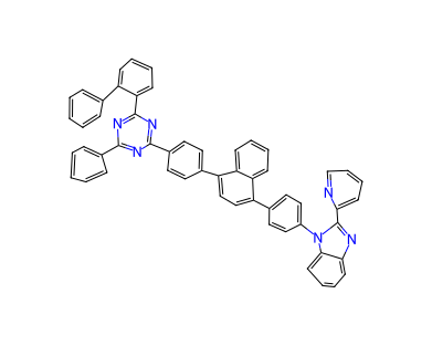 c1ccc(-c2nc(-c3ccc(-c4ccc(-c5ccc(-n6c(-c7ccccn7)nc7ccccc76)cc5)c5ccccc45)cc3)nc(-c3ccccc3-c3ccccc3)n2)cc1